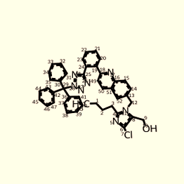 CCCCc1nc(Cl)c(CO)n1Cc1ccc2nc(-c3ccccc3-c3nnn(C(c4ccccc4)(c4ccccc4)c4ccccc4)n3)ccc2c1